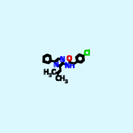 CC(C)=Cc1nc(-c2ccccc2)cnc1NC(=O)Cc1ccc(Cl)cc1